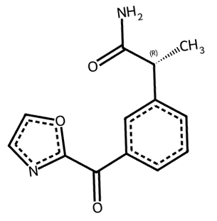 C[C@@H](C(N)=O)c1cccc(C(=O)c2ncco2)c1